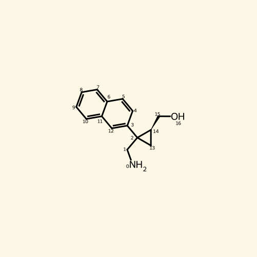 NCC1(c2ccc3ccccc3c2)C[C@@H]1CO